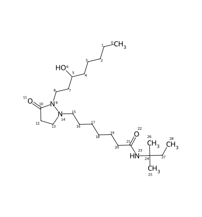 CCCCCC(O)CCN1C(=O)CCN1CCCCCCC(=O)NC(C)(C)CC